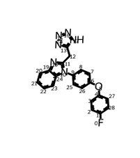 Fc1ccc(Oc2ccc(-n3c(Cc4nnn[nH]4)nc4ccccc43)cc2)cc1